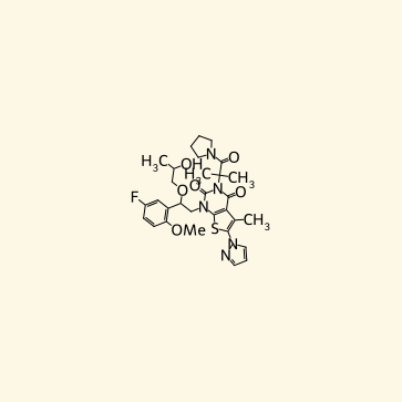 COc1ccc(F)cc1C(Cn1c(=O)n(C(C)(C)C(=O)N2CCCC2)c(=O)c2c(C)c(-n3cccn3)sc21)OCC(C)O